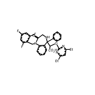 CCc1cc(CC)nc(OC(C(=O)O)C2(c3ccccc3)NCC(=O)N(Cc3c(F)cc(F)cc3F)c3ccccc32)n1